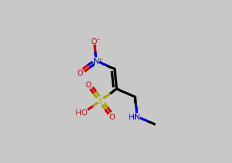 CNCC(=C[N+](=O)[O-])S(=O)(=O)O